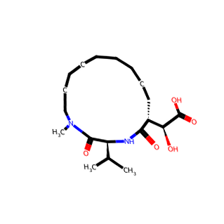 CC(C)[C@@H]1NC(=O)[C@@H]([C@H](O)C(=O)O)CCCCCCCCCN(C)C1=O